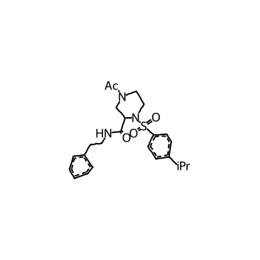 CC(=O)N1CCN(S(=O)(=O)c2ccc(C(C)C)cc2)C(C(=O)NCCc2ccccc2)C1